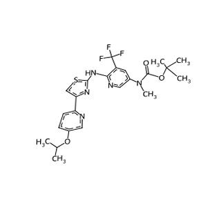 CC(C)Oc1ccc(-c2csc(Nc3ncc(N(C)C(=O)OC(C)(C)C)cc3C(F)(F)F)n2)nc1